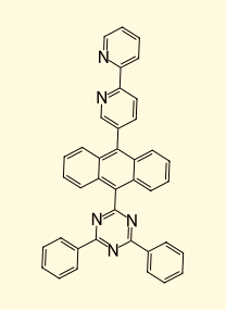 c1ccc(-c2nc(-c3ccccc3)nc(-c3c4ccccc4c(-c4ccc(-c5ccccn5)nc4)c4ccccc34)n2)cc1